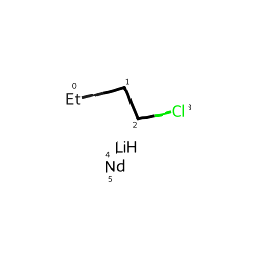 CCCCCl.[LiH].[Nd]